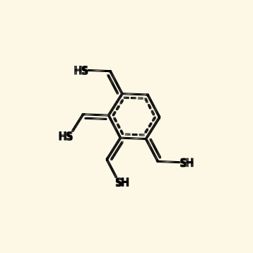 S/C=c1ccc(=C\S)/c(=C\S)c/1=C\S